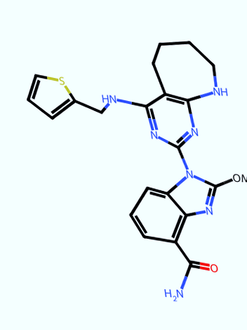 COc1nc2c(C(N)=O)cccc2n1-c1nc2c(c(NCc3cccs3)n1)CCCCN2